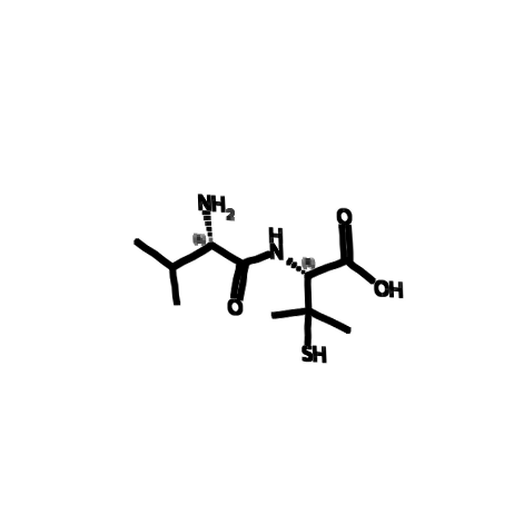 CC(C)[C@H](N)C(=O)N[C@H](C(=O)O)C(C)(C)S